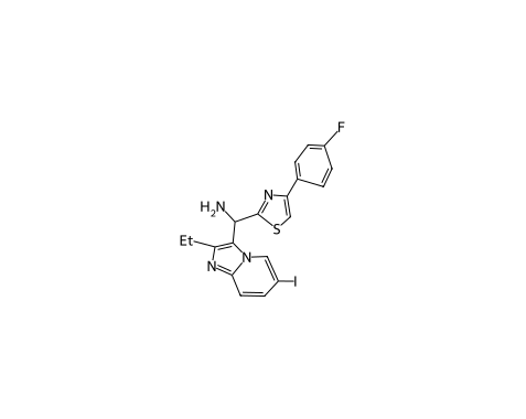 CCc1nc2ccc(I)cn2c1C(N)c1nc(-c2ccc(F)cc2)cs1